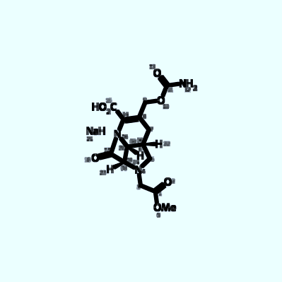 COC(=O)CN1C[C@H]2CC(COC(N)=O)=C(C(=O)O)N3C(=O)[C@@H]1[C@@H]23.[NaH]